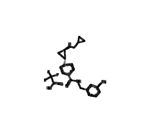 N#Cc1cccc(CNC(=O)c2ccc([C@@H]3C[C@H]3NCC3CC3)cc2)c1.O=C(O)C(F)(F)F